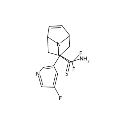 NC(=S)C1(c2cncc(F)c2)CC2C=CC(C1)N2CC(F)F